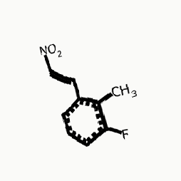 Cc1c(F)cccc1C=C[N+](=O)[O-]